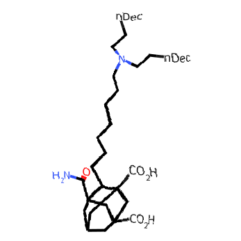 CCCCCCCCCCCCN(CCCCCCCCCCCC)CCCCCCCC1C2(C(N)=O)CC3CC(C(=O)O)(C2)CC1(C(=O)O)C3